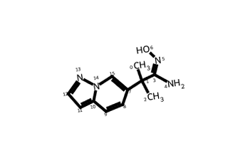 CC(C)(/C(N)=N\O)c1ccc2ccnn2c1